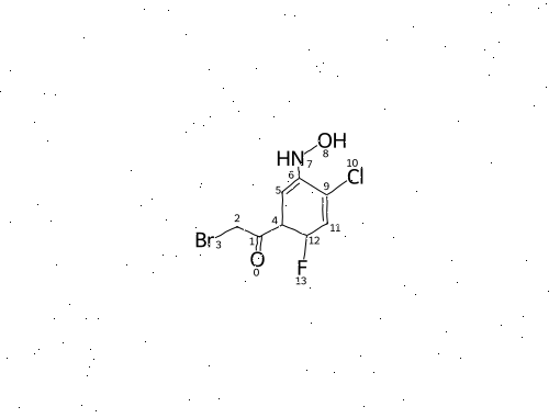 O=C(CBr)C1C=C(NO)C(Cl)=CC1F